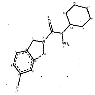 NC(C(=O)N1Cc2ccc(F)cc2C1)C1CCCCC1